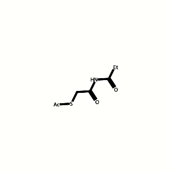 CCC(=O)NC(=O)CSC(C)=O